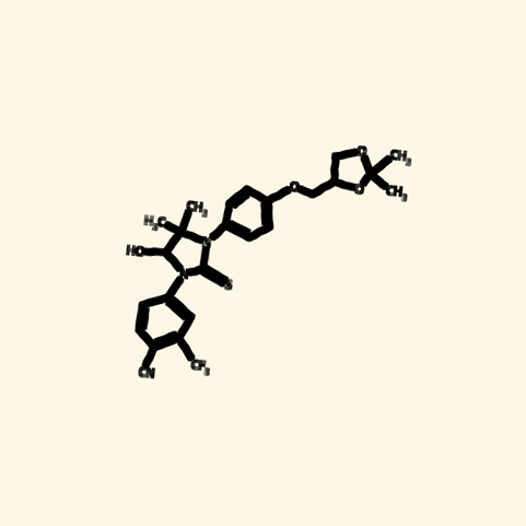 CC1(C)OCC(COc2ccc(N3C(=S)N(c4ccc(C#N)c(C(F)(F)F)c4)C(O)C3(C)C)cc2)O1